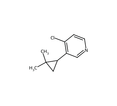 CC1(C)CC1c1cnccc1Cl